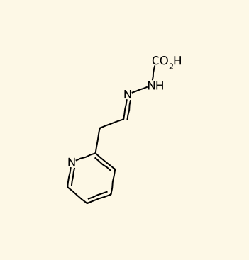 O=C(O)NN=CCc1ccccn1